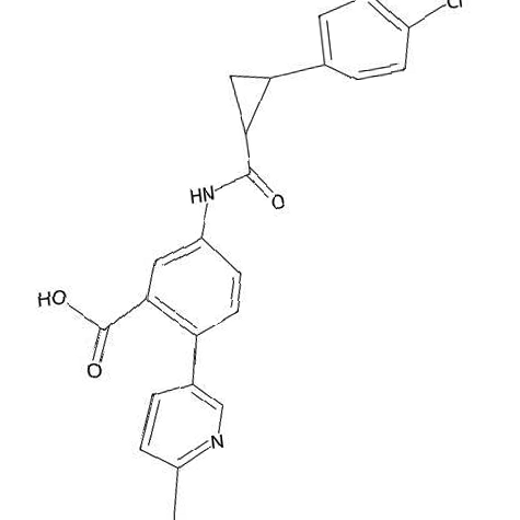 Cc1ccc(-c2ccc(NC(=O)C3CC3c3ccc(Cl)cc3)cc2C(=O)O)cn1